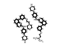 CN(C)CCOc1cccc(-c2cccc3cnc(Nc4ccc(N5CCNCC5)cc4)nc23)c1.c1cc(OCCN2CCOCC2)cc(-c2cccc3cnc(Nc4ccc(N5CCNCC5)cc4)nc23)c1